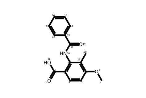 COc1ccc(C(=O)O)c(NC(=O)c2ccccc2)c1C